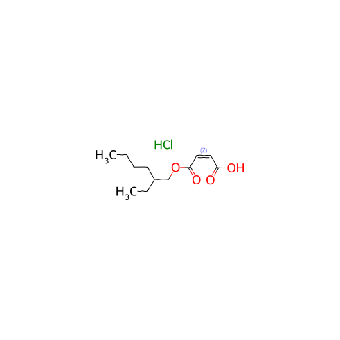 CCCCC(CC)COC(=O)/C=C\C(=O)O.Cl